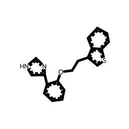 c1ccc(-c2c[nH]cn2)c(OCCc2csc3ccccc23)c1